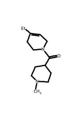 CCC1=CCN(C(=O)C2CCN(C)CC2)CC1